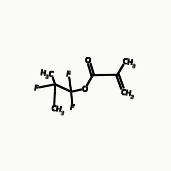 C=C(C)C(=O)OC(F)(F)C(C)(C)F